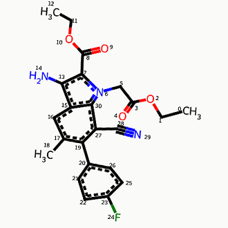 CCOC(=O)Cn1c(C(=O)OCC)c(N)c2cc(C)c(-c3ccc(F)cc3)c(C#N)c21